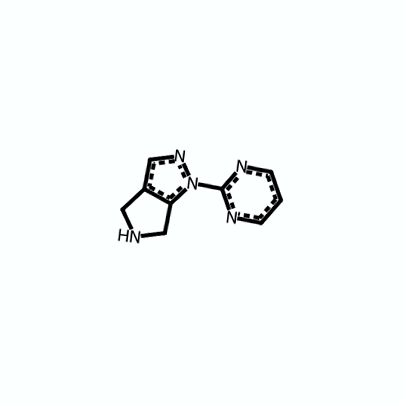 c1cnc(-n2ncc3c2CNC3)nc1